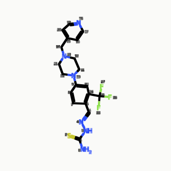 NC(=S)NN=Cc1ccc(N2CCN(Cc3ccncc3)CC2)cc1C(F)(F)F